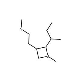 CCC(C)C1B(C)CC1CCSC